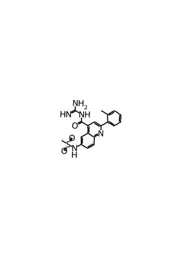 Cc1ccccc1-c1cc(C(=O)NC(=N)N)c2cc(NS(C)(=O)=O)ccc2n1